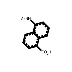 CC(=O)Nc1cccc2c(C(=O)O)cccc12